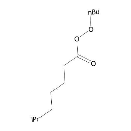 CCCCOOC(=O)CCCCC(C)C